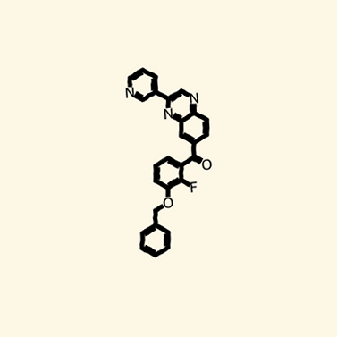 O=C(c1ccc2ncc(-c3cccnc3)nc2c1)c1cccc(OCc2ccccc2)c1F